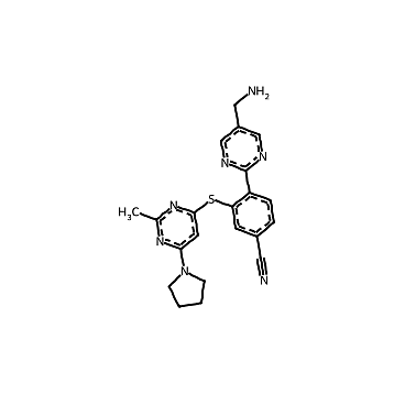 Cc1nc(Sc2cc(C#N)ccc2-c2ncc(CN)cn2)cc(N2CCCC2)n1